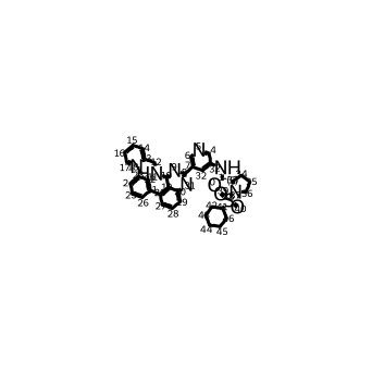 O=C(Nc1cncc(-c2nc(NCc3ccccn3)c3c(-c4ccccc4)cccc3n2)c1)[C@@H]1CCCN1S(=O)(=O)C1CCCCC1